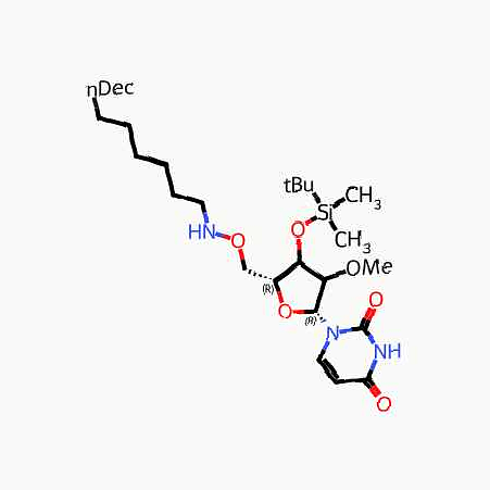 CCCCCCCCCCCCCCCCNOC[C@H]1O[C@@H](n2ccc(=O)[nH]c2=O)C(OC)C1O[Si](C)(C)C(C)(C)C